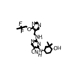 CC(F)(F)COc1ncncc1CNc1ncc(C#N)c(N[C@@H]2CC[C@@H](O)C(C)(C)C2)n1